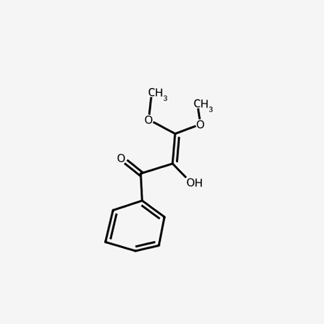 COC(OC)=C(O)C(=O)c1ccccc1